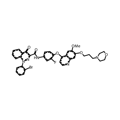 COc1cc2c(Oc3ccc(NC(=O)c4nn(-c5ccccc5Br)c5ccccc5c4=O)cc3F)ccnc2cc1OCCCN1CCOCC1